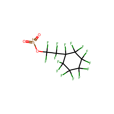 O=[SH](=O)OC(F)(F)C(F)(F)C1(F)C(F)(F)C(F)(F)C(F)(F)C(F)(F)C1(F)F